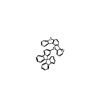 c1ccc2c(c1)-c1ccccc1C21c2ccccc2-c2ccc(-n3c4cccnc4c4ccc5sc6ccccc6c5c43)cc21